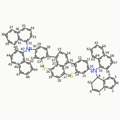 C1=Cc2ccccc2C(N(c2ccc3c(c2)Sc2ccc4c5c(ccc-3c25)-c2ccc(N(c3cccc5ccccc35)c3cccc5ccccc35)cc2S4)c2cccc3ccccc23)C1